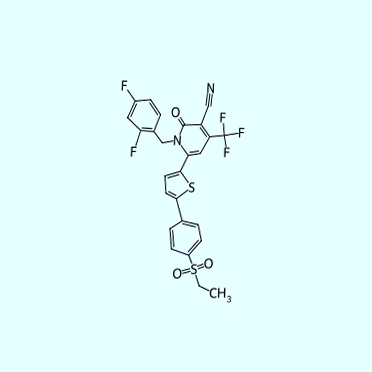 CCS(=O)(=O)c1ccc(-c2ccc(-c3cc(C(F)(F)F)c(C#N)c(=O)n3Cc3ccc(F)cc3F)s2)cc1